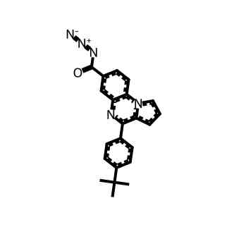 CC(C)(C)c1ccc(-c2nc3cc(C(=O)N=[N+]=[N-])ccc3n3cccc23)cc1